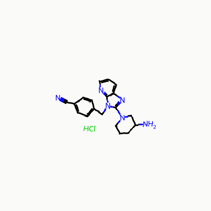 Cl.N#Cc1ccc(Cn2c(N3CCCC(N)C3)nc3cccnc32)cc1